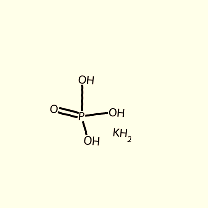 O=P(O)(O)O.[KH2]